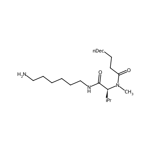 CCCCCCCCCCCCC(=O)N(C)[C@H](C(=O)NCCCCCCN)C(C)C